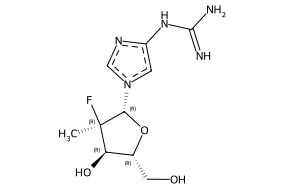 C[C@@]1(F)[C@H](O)[C@@H](CO)O[C@H]1n1cnc(NC(=N)N)c1